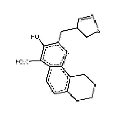 O=C(O)c1c(O)c(CC2C=CSC2)nc2c3c(ccc12)CCCC3